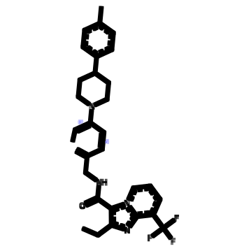 C=C(/C=C\C(=C/C)N1CCC(c2ccc(C)cc2)CC1)CNC(=O)c1c(CC)nc2c(C(F)(F)F)cccn12